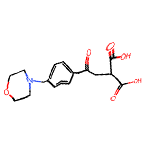 O=C(CC(C(=O)O)C(=O)O)c1ccc(N2CCOCC2)cc1